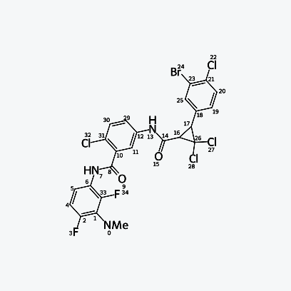 CNc1c(F)ccc(NC(=O)c2cc(NC(=O)C3C(c4ccc(Cl)c(Br)c4)C3(Cl)Cl)ccc2Cl)c1F